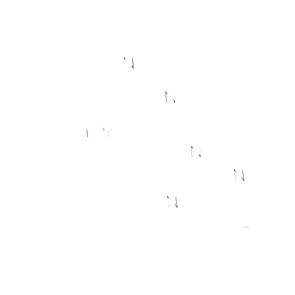 CCCc1cncnc1Cn1ccnc1-c1ncccc1F